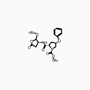 CCCCOC1OC(=O)C[C@@H]1NC(=O)[C@@H]1C[C@@H](Oc2ccccc2)CN1C(=O)OC(C)(C)C